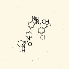 CC(c1ccc(Cl)cc1F)n1nnc2ccc(C3=CCN(C(=O)[C@H]4CCCCN4)CC3)cc21